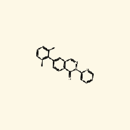 Cc1cccc(C)c1-c1ccc2c(=O)n(-c3ccccn3)ncc2c1